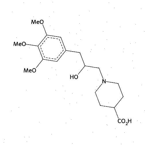 COc1cc(CC(O)CN2CCC(C(=O)O)CC2)cc(OC)c1OC